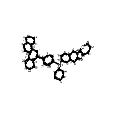 c1ccc(N(c2ccc(-c3cc4c5ccccc5ccc4c4ccccc34)cc2)c2ccc3cc4c(cc3c2)sc2ccccc24)cc1